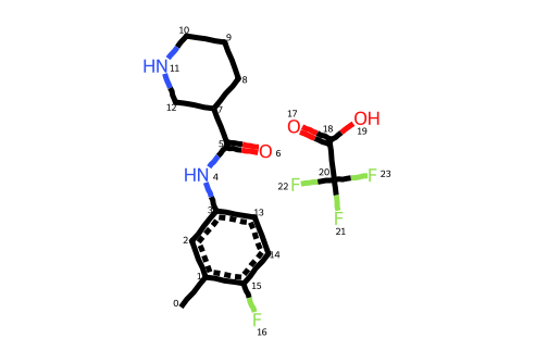 Cc1cc(NC(=O)C2CCCNC2)ccc1F.O=C(O)C(F)(F)F